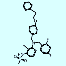 Cc1c(NS(C)(=O)=O)cccc1N(Cc1ccc(OCCc2ccccc2)cc1)Cc1ccc(F)cc1F